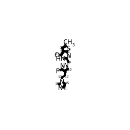 Cc1cc2c(=O)[nH]c(Cn3cc(CCn4ccnc4)c(F)n3)nc2s1